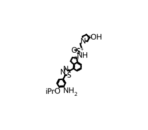 CC(C)Oc1ccc(-c2nnc(-c3cccc4c3CC[C@@H]4N[S+]([O-])CCN3CC[C@H](O)C3)s2)cc1N